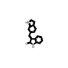 O=C1Nc2ccccc2/C1=C\c1ccc2cc[nH]c2c1